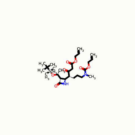 C=CCOC(=O)CC(=O)[C@H](CCCN(C)C(=O)OCC=C)[C@H]1NC(=O)[C@@H]1[C@@H](C)O[Si](C)(C)C(C)(C)C